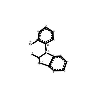 CC1Nc2ccccc2N1c1ccccc1Br